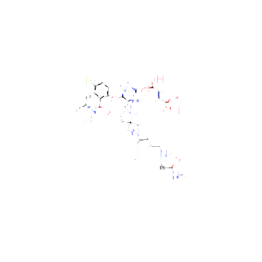 CCC[C@H](CCCN(C)C[C@@H](C)C(=O)N(C)C)N1CC2(CCN(c3ncnnc3Oc3ccc(F)cc3C(=O)N(CC)C(C)C)C2)C1.O=C(O)/C=C/C(=O)O